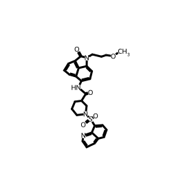 COCCCN1C(=O)c2cccc3c(NC(=O)C4CCCN(S(=O)(=O)c5cccc6cccnc56)C4)ccc1c23